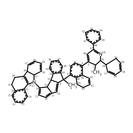 CC1C(c2ccc(C3(C)C4=CC5=CC=C(N6C7=C(CCc8ccccc87)C7C=CC=CC76)C5C4c4ccccc43)c3c2C=CCC3)=CC(c2ccccc2)=NC1C1C=CC=CC1